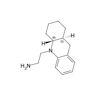 NCCN1c2ccccc2C[C@@H]2CCCC[C@H]21